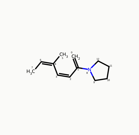 C=C(/C=C\C(C)=C/C)N1CCCC1